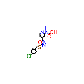 O=C(O)Nc1cc(-c2nnc(SCc3ccc(Cl)cc3)o2)ccn1